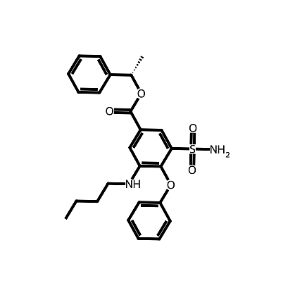 CCCCNc1cc(C(=O)O[C@@H](C)c2ccccc2)cc(S(N)(=O)=O)c1Oc1ccccc1